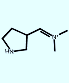 C[N+](C)=CC1CCNC1